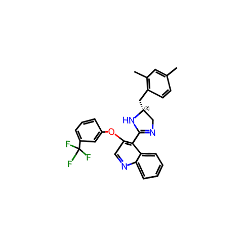 Cc1ccc(C[C@@H]2CN=C(c3c(Oc4cccc(C(F)(F)F)c4)cnc4ccccc34)N2)c(C)c1